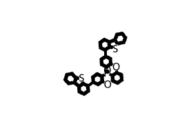 O=P12c3ccc(-c4cccc5c4sc4ccccc45)cc3Oc3cccc(c31)Oc1cc(-c3cccc4c3sc3ccccc34)ccc12